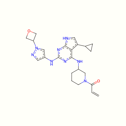 C=CC(=O)N1CCCC(Nc2nc(Nc3cnn(C4COC4)c3)nc3[nH]cc(C4CC4)c23)C1